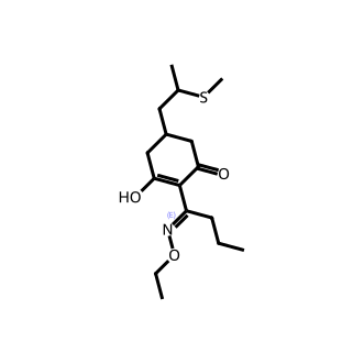 CCC/C(=N\OCC)C1=C(O)CC(CC(C)SC)CC1=O